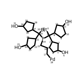 CCC(C1CCC(O)C1)(C1CCC(O)C1)P(CC[CH2][Pd])C(CC)(C1CCC(O)C1)C1CCC(O)C1